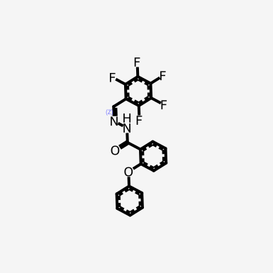 O=C(N/N=C\c1c(F)c(F)c(F)c(F)c1F)c1ccccc1Oc1ccccc1